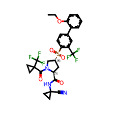 CCOc1ccccc1-c1ccc(S(=O)(=O)[C@@H]2C[C@@H](C(=O)NC3(C#N)CC3)N(C(=O)C3(C(F)(F)F)CC3)C2)c(C(F)(F)F)c1